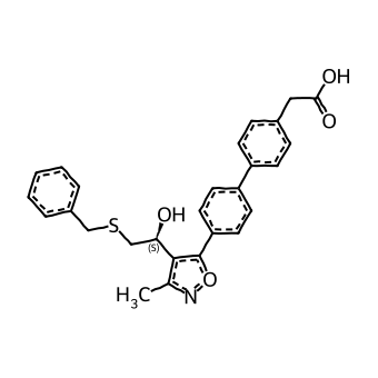 Cc1noc(-c2ccc(-c3ccc(CC(=O)O)cc3)cc2)c1[C@H](O)CSCc1ccccc1